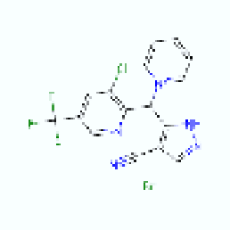 N#Cc1cn[nH]c1C(c1ncc(C(F)(F)F)cc1Cl)[n+]1ccccc1.[Br-]